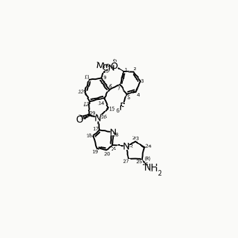 COc1cccc(F)c1-c1c(C#N)ccc2c1CN(c1cccc(N3CC[C@@H](N)C3)n1)C2=O